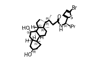 CC(C)[C@@H](NC(=O)C[C@@H](C)[C@H]1CC[C@H]2[C@@H]3[C@@H](O)C[C@@H]4C[C@H](O)CC[C@]4(C)[C@H]3CC[C@]12C)c1ccc(Br)s1